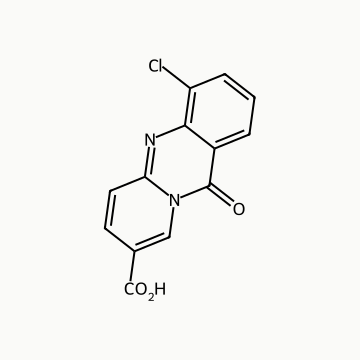 O=C(O)c1ccc2nc3c(Cl)cccc3c(=O)n2c1